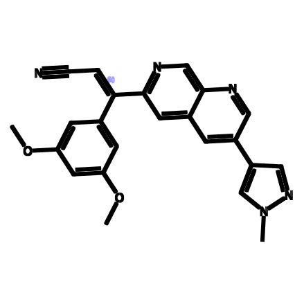 COc1cc(OC)cc(/C(=C\C#N)c2cc3cc(-c4cnn(C)c4)cnc3cn2)c1